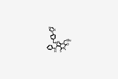 Cn1c(=S)c2c(Nc3ccccc3)n(Cc3ccc(-n4cncn4)cc3)nc2n(CC(C)(C)C)c1=O